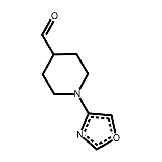 O=CC1CCN(c2cocn2)CC1